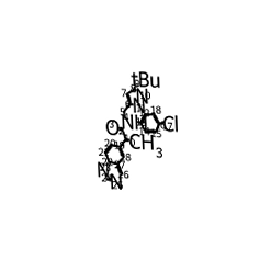 CC(C(=O)NCc1cc(C(C)(C)C)nn1-c1cccc(Cl)c1)c1ccc2ncncc2c1